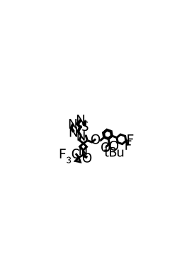 CC(C)(C)OC(=O)c1c(COCC2CN(c3ncnc4ncsc34)CC23CN(C(=O)C2(C(F)(F)F)CC2)C3)cccc1C1CCC(F)(F)CC1